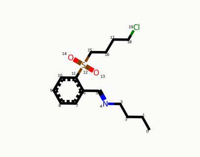 CCCC/N=C/c1ccccc1S(=O)(=O)CCCCCl